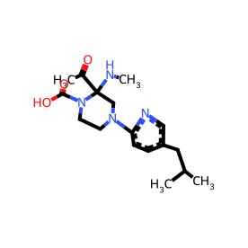 CNC1(C(C)=O)CN(c2ccc(CC(C)C)cn2)CCN1C(=O)O